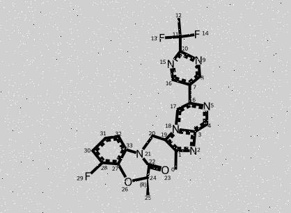 Cc1nc2cnc(-c3cnc(C(C)(F)F)nc3)cn2c1CN1C(=O)[C@@H](C)Oc2c(F)cccc21